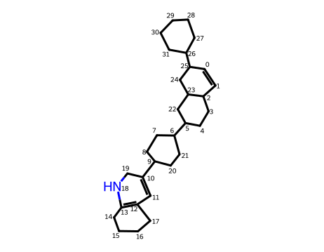 C1=CC2CCC(C3CCC(C4=CC5=C(CCCC5)NC4)CC3)CC2CC1C1CCCCC1